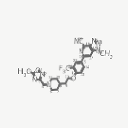 Cc1nc(CN2CCC(CCOc3ccc(-c4cc5c(nnn5C)c(C#N)n4)cc3C(F)(F)F)CC2)no1